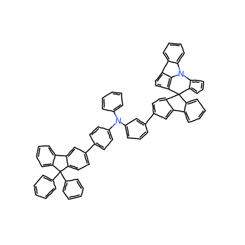 c1ccc(N(c2ccc(-c3ccc4c(c3)-c3ccccc3C4(c3ccccc3)c3ccccc3)cc2)c2cccc(-c3ccc4c(c3)-c3ccccc3C43c4ccccc4-n4c5ccccc5c5cccc3c54)c2)cc1